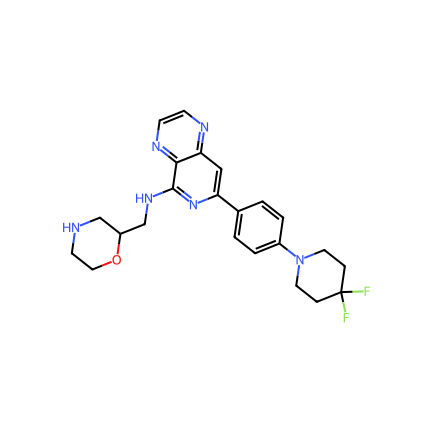 FC1(F)CCN(c2ccc(-c3cc4nccnc4c(NCC4CNCCO4)n3)cc2)CC1